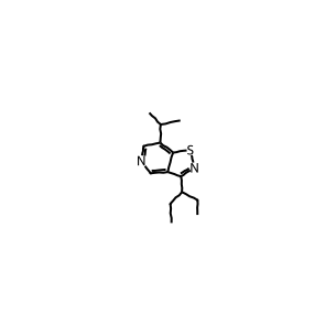 CCC(CC)c1nsc2c(C(C)C)cncc12